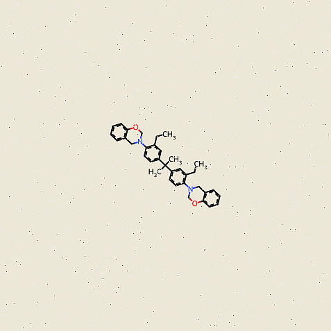 CCc1cc(C(C)(C)c2ccc(N3COc4ccccc4C3)c(CC)c2)ccc1N1COc2ccccc2C1